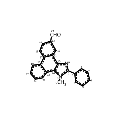 Cn1c(-c2ccccc2)nc2c3cc(C=O)ccc3c3ccccc3c21